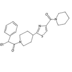 CCC(C(=O)N1CCC(c2nc(C(=O)N3CCCCC3)cs2)CC1)c1ccccc1